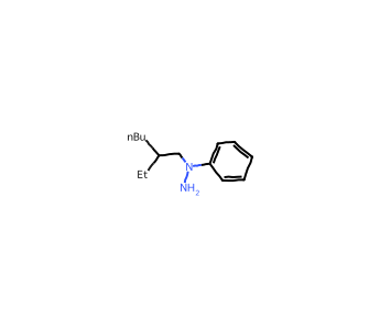 CCCCC(CC)CN(N)c1ccccc1